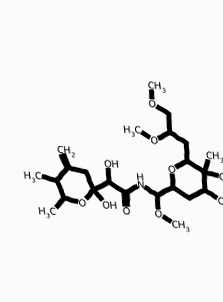 C=C1CC(O)(C(O)C(=O)NC(OC)C2CC(O)C(C)(C)C(CC(COC)OC)O2)OC(C)C1C